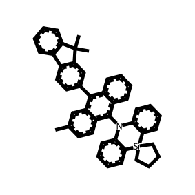 Cc1ccc2c(N3c4ccccc4[Si]4(CCCC4)c4ccccc43)c3ccccc3c(-c3ccc4c(c3)C(C)(C)c3ccccc3-4)c2c1